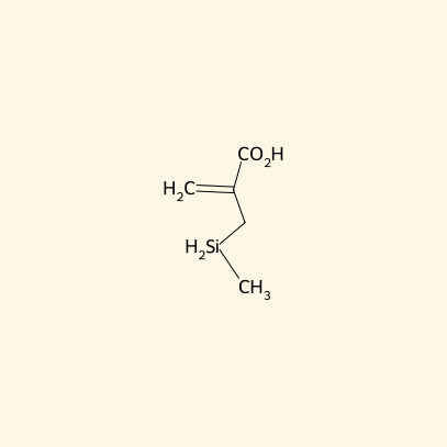 C=C(C[SiH2]C)C(=O)O